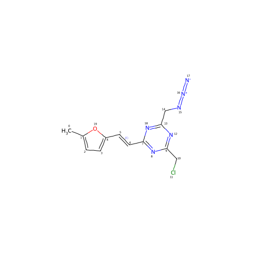 Cc1ccc(/C=C/c2nc(CCl)nc(CN=[N+]=[N-])n2)o1